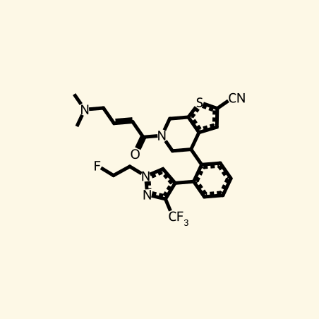 CN(C)C/C=C/C(=O)N1Cc2sc(C#N)cc2C(c2ccccc2-c2cn(CCF)nc2C(F)(F)F)C1